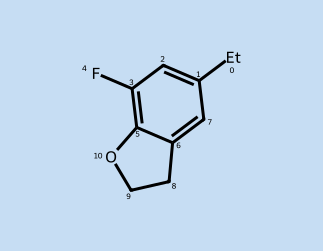 CCc1cc(F)c2c(c1)CCO2